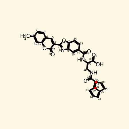 Cc1ccc2cc(-c3nc4cc(C(=O)NC(CNC(=O)/C=C/C5=C\C=C/C=C/C=C\5)C(=O)O)ccc4o3)c(=O)oc2c1